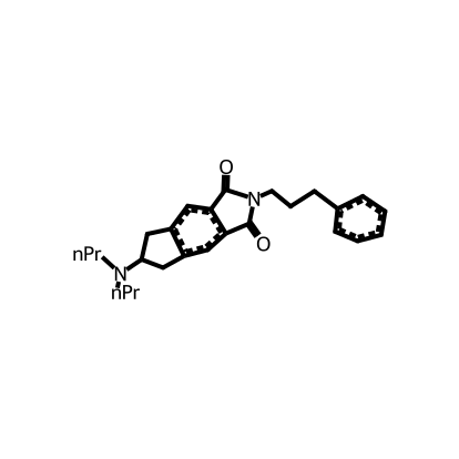 CCCN(CCC)C1Cc2cc3c(cc2C1)C(=O)N(CCCc1ccccc1)C3=O